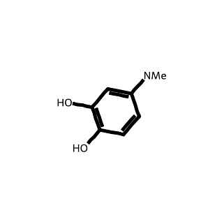 CNc1ccc(O)c(O)c1